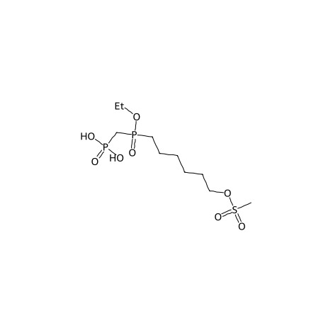 CCOP(=O)(CCCCCCOS(C)(=O)=O)CP(=O)(O)O